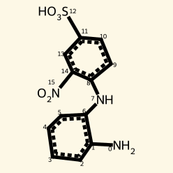 Nc1ccccc1Nc1ccc(S(=O)(=O)O)cc1[N+](=O)[O-]